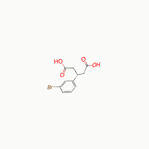 O=C(O)CC(CC(=O)O)c1cccc(Br)c1